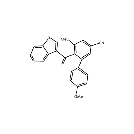 COc1ccc(-c2cc(C#N)cc(OC)c2C(=O)c2csc3ccccc23)cc1